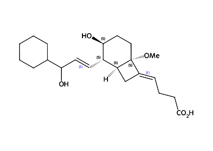 CO[C@@]12CC[C@H](O)[C@@H](/C=C/C(O)C3CCCCC3)[C@@H]1C/C2=C\CCC(=O)O